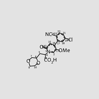 COc1cn(C(CC2COCCO2)C(=O)O)c(=O)cc1-c1cc(Cl)ccc1C#N